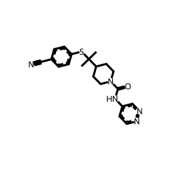 CC(C)(Sc1ccc(C#N)cc1)C1CCN(C(=O)Nc2ccnnc2)CC1